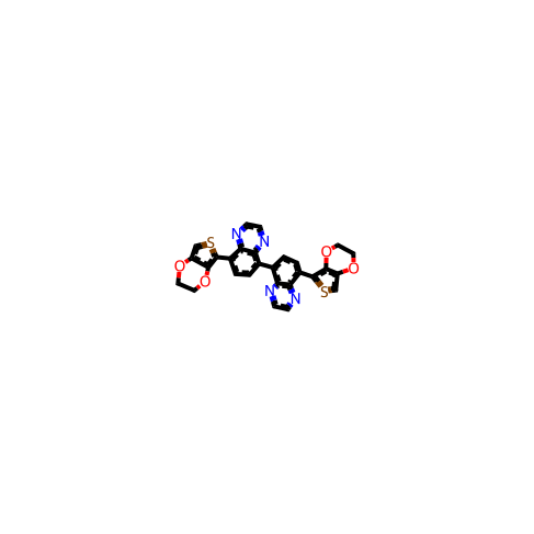 c1cnc2c(-c3ccc(-c4scc5c4OCCO5)c4nccnc34)ccc(-c3scc4c3OCCO4)c2n1